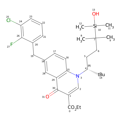 CCOC(=O)c1cn([C@H](CCC(C)(C)[Si](C)(C)O)C(C)(C)C)c2ccc(Cc3cccc(Cl)c3F)cc2c1=O